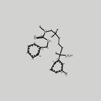 CN(CC(C)(C)CCCC(C)(C(=O)O)c1cccc(Br)c1)C(=O)OCc1ccccc1